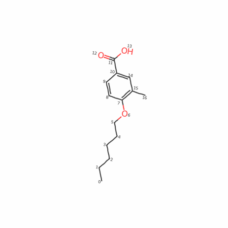 CCCCCCOc1ccc(C(=O)O)cc1C